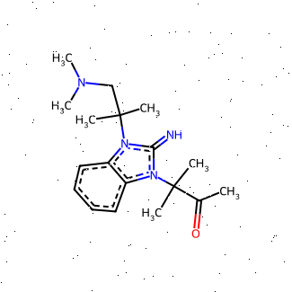 CC(=O)C(C)(C)n1c(=N)n(C(C)(C)CN(C)C)c2ccccc21